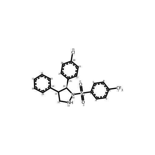 O=S(=O)(c1ccc(C(F)(F)F)cc1)N1NCC(c2ccccc2)[C@H]1c1ccc(Cl)cc1